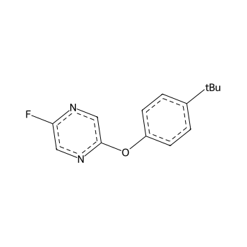 CC(C)(C)c1ccc(Oc2cnc(F)cn2)cc1